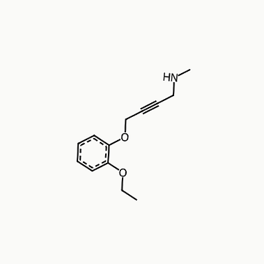 CCOc1ccccc1OCC#CCNC